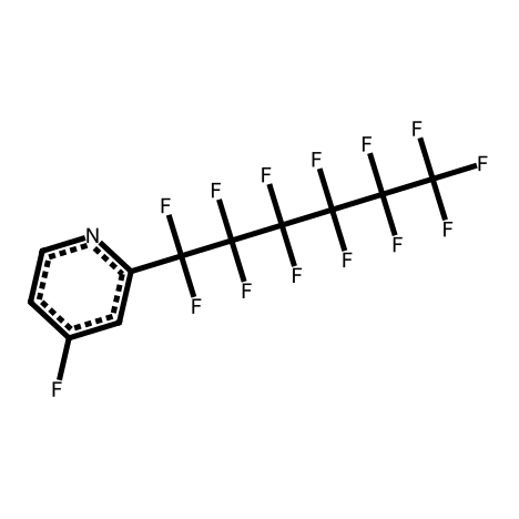 Fc1ccnc(C(F)(F)C(F)(F)C(F)(F)C(F)(F)C(F)(F)C(F)(F)F)c1